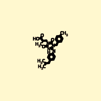 Cc1ccc(Cn2c(=O)n(C[C@H](C)C(=O)O)c(=O)[nH]/c2=N\c2ccc(CC(C)C)cc2)cc1